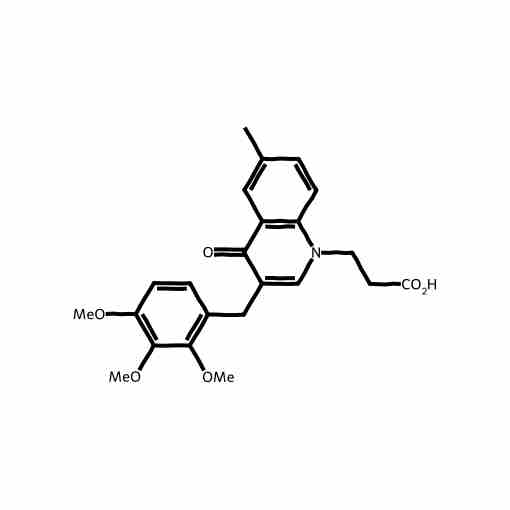 COc1ccc(Cc2cn(CCC(=O)O)c3ccc(C)cc3c2=O)c(OC)c1OC